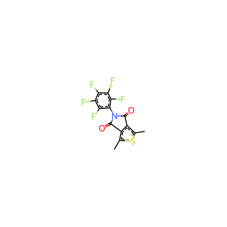 Cc1sc(C)c2c1C(=O)N(c1c(F)c(F)c(F)c(F)c1F)C2=O